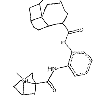 C[SH]123CC1CC2(C(=O)Nc1ccccc1NC(=O)C12CC4CC5CC(C1)C5(C4)C2)C3